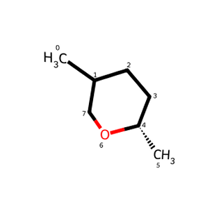 CC1CC[C@H](C)OC1